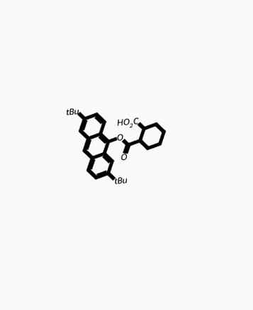 CC(C)(C)c1ccc2c(OC(=O)C3CCCCC3C(=O)O)c3cc(C(C)(C)C)ccc3cc2c1